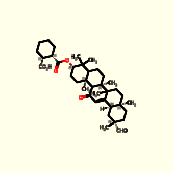 CC1(C)C2CC[C@]3(C)C(C(=O)C=C4[C@@H]5C[C@@](C)(C=O)CC[C@]5(C)CCC43C)[C@@]2(C)CC[C@@H]1OC(=O)[C@H]1CCCC[C@H]1C(=O)O